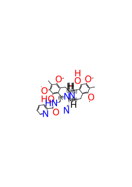 COc1c(C)c(OC)c2c(c1O)[C@H]1[C@@H]3Cc4c(OC)c(C)c(OC)c(O)c4[C@H](CNC(=O)c4ccccn4)N3[C@@H](C#N)[C@@H](C2)N1C